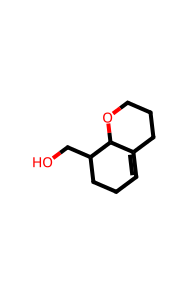 OCC1CCC=C2CCCOC21